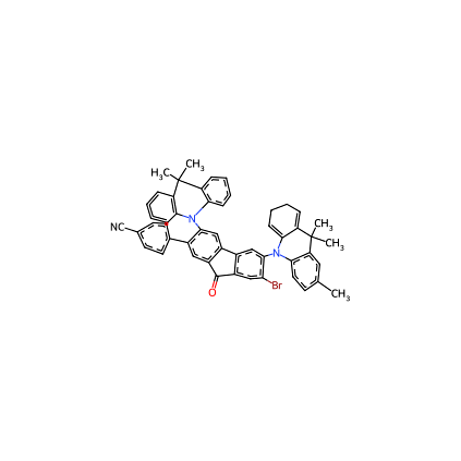 Cc1ccc2c(c1)C(C)(C)C1=CCCC=C1N2c1cc2c(cc1Br)C(=O)c1cc(-c3ccc(C#N)cc3)c(N3C4=C(C=C=C=C4)C(C)(C)c4ccccc43)cc1-2